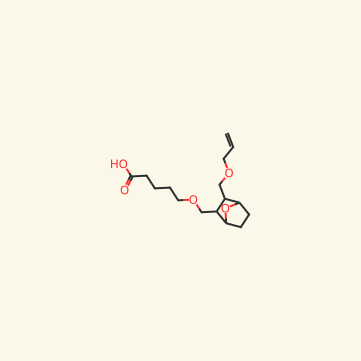 C=CCOCC1C2CCC(O2)C1COCCCCC(=O)O